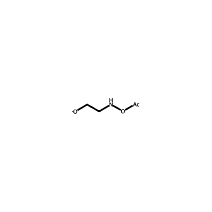 CC(=O)ONCC[O]